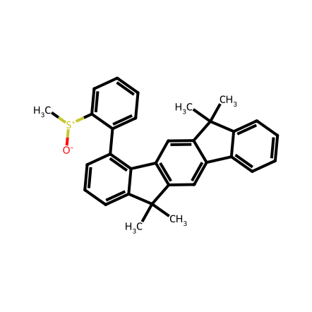 C[S+]([O-])c1ccccc1-c1cccc2c1-c1cc3c(cc1C2(C)C)-c1ccccc1C3(C)C